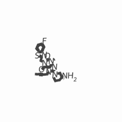 CC#CCn1c(N2CCC[C@H](N)C2)nc2c1c(=O)n(Cc1nc3cc(F)ccc3s1)c(=O)n2C